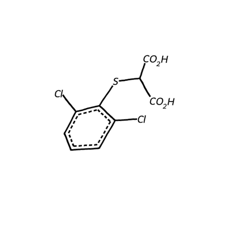 O=C(O)C(Sc1c(Cl)cccc1Cl)C(=O)O